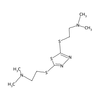 CN(C)CCSc1nnc(SCCN(C)C)s1